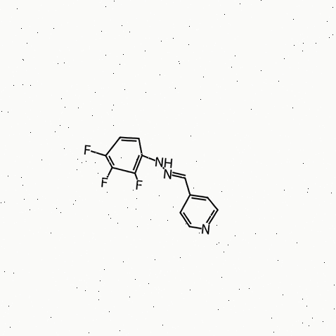 Fc1ccc(NN=Cc2ccncc2)c(F)c1F